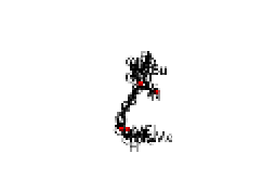 CNc1nc(Nc2ccc(C(=O)N3CCN(CCOCCOCCOc4cc(-c5scnc5C)ccc4CNC(=O)C4C[C@@H](O)CN4C(=O)[C@@H](NC(=O)C4(F)CC4)C(C)(C)C)CC3)cc2OC)ncc1Cl